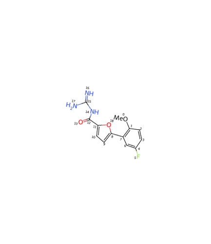 COc1ccc(F)cc1-c1ccc(C(=O)NC(=N)N)o1